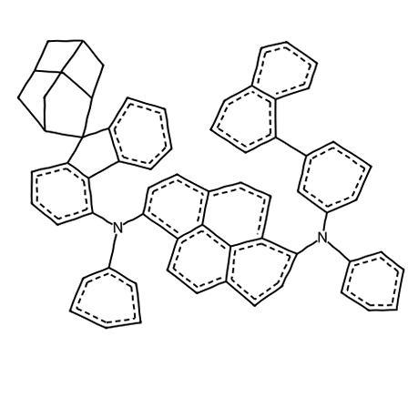 c1ccc(N(c2cccc(-c3cccc4ccccc34)c2)c2ccc3ccc4c(N(c5ccccc5)c5cccc6c5-c5ccccc5C65C6CC7CC(C6)CC5C7)ccc5ccc2c3c54)cc1